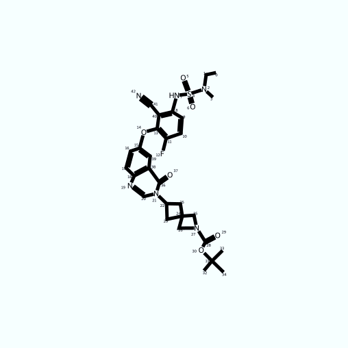 CCN(C)S(=O)(=O)Nc1ccc(F)c(Oc2ccc3ncn(C4CC5(C4)CN(C(=O)OC(C)(C)C)C5)c(=O)c3c2)c1C#N